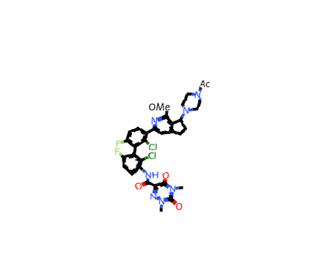 COc1nc(-c2ccc(F)c(-c3c(F)ccc(NC(=O)c4nn(C)c(=O)n(C)c4=O)c3Cl)c2Cl)cc2c1C(N1CCN(C(C)=O)CC1)CC2